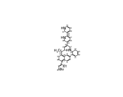 CCCC/C=C(\CC)C1=c2ccccc2=C(C(C)C/C=C(\CNC2C=CC=CC2)C2=CC=C(C3=CC=CNC3)NC2)CC1